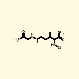 CCN[C@H](C(N)=O)C(C)CCNNCC(N)=O